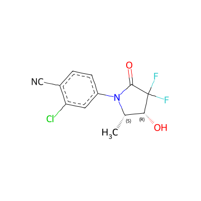 C[C@H]1[C@@H](O)C(F)(F)C(=O)N1c1ccc(C#N)c(Cl)c1